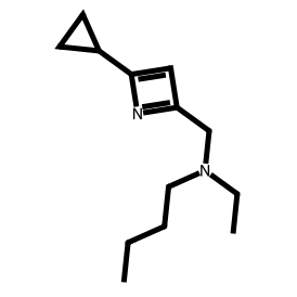 CCCCN(CC)CC1=NC(C2CC2)=C1